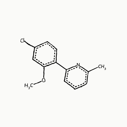 COc1cc(Cl)ccc1-c1cccc(C)n1